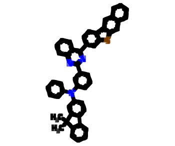 CC1(C)c2ccccc2-c2ccc(N(c3ccccc3)c3cccc(-c4nc(-c5ccc6c(c5)sc5cc7ccccc7cc56)c5ccccc5n4)c3)cc21